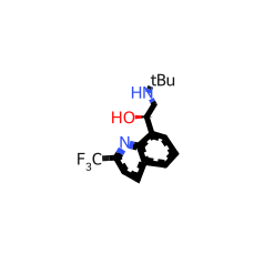 CC(C)(C)NC[C@H](O)c1cccc2ccc(C(F)(F)F)nc12